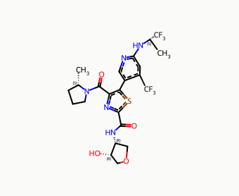 C[C@H](Nc1cc(C(F)(F)F)c(-c2sc(C(=O)N[C@@H]3COC[C@@H]3O)nc2C(=O)N2CCC[C@@H]2C)cn1)C(F)(F)F